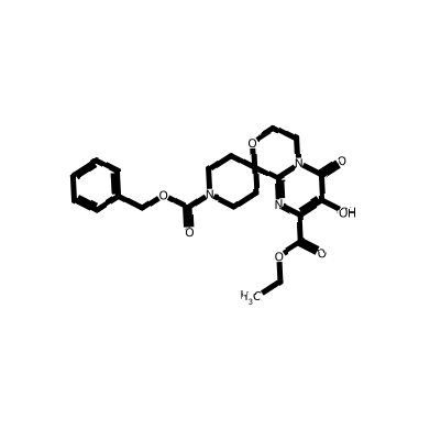 CCOC(=O)c1nc2n(c(=O)c1O)CCOC21CCN(C(=O)OCc2ccccc2)CC1